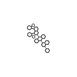 c1ccc(-c2ccc(-c3c4ccccc4c(-c4cc5ccc6oc7ccccc7c6c5c5c4oc4ccccc45)c4ccccc34)c3ccccc23)cc1